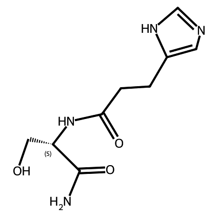 NC(=O)[C@H](CO)NC(=O)CCc1cnc[nH]1